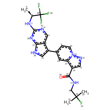 C[C@H](Nc1ncc2c(-c3ccn4ncc(C(=O)NCC(C)(C)F)c4c3)c[nH]c2n1)C(F)(F)F